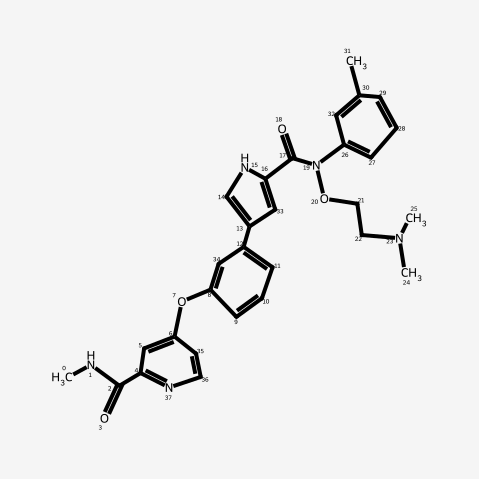 CNC(=O)c1cc(Oc2cccc(-c3c[nH]c(C(=O)N(OCCN(C)C)c4cccc(C)c4)c3)c2)ccn1